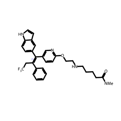 CNC(=O)CCCCNCCOc1ccc(/C(=C(/CC(F)(F)F)c2ccccc2)c2ccc3[nH]ccc3c2)cn1